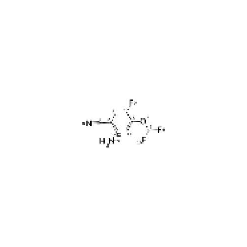 N#Cc1cc(F)c(OC(F)F)cc1N